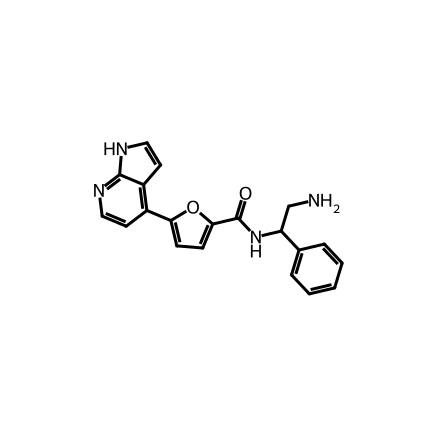 NCC(NC(=O)c1ccc(-c2ccnc3[nH]ccc23)o1)c1ccccc1